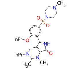 CCCOc1ccc(S(=O)(=O)N2CCN(C)CC2)cc1C1NC(=O)C2=C1CN(CCC)C(C)N2C